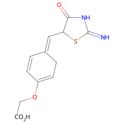 N=C1NC(=O)C(C=C2C=CC(OCC(=O)O)=CC2)S1